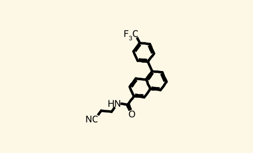 N#CCCNC(=O)c1ccc2c(-c3ccc(C(F)(F)F)cc3)cccc2c1